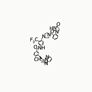 Cc1ccc(C(=O)Nc2ccc(CN3CCN(Cc4ccccc4N4CCC(=O)NC4=O)CC3)c(C(F)(F)F)c2)cc1C#Cc1cnc2cccnn12